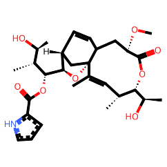 CO[C@H]1CC2C=C[C@@H]3C[C@]2(O[C@H]3[C@H](OC(=O)c2ccc[nH]2)[C@H](C)[C@H](C)O)/C(C)=C/[C@@H](C)[C@@H]([C@@H](C)O)OC1=O